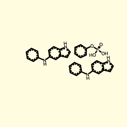 O=P(O)(O)Oc1ccccc1.c1ccc(Nc2ccc3[nH]ccc3c2)cc1.c1ccc(Nc2ccc3[nH]ccc3c2)cc1